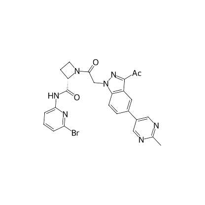 CC(=O)c1nn(CC(=O)N2CC[C@H]2C(=O)Nc2cccc(Br)n2)c2ccc(-c3cnc(C)nc3)cc12